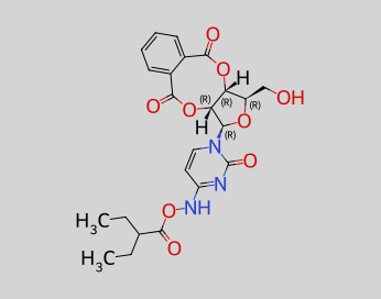 CCC(CC)C(=O)ONc1ccn([C@@H]2O[C@H](CO)[C@H]3OC(=O)c4ccccc4C(=O)O[C@H]32)c(=O)n1